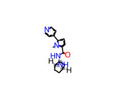 Cn1c(C(=O)N[C@@H]2C[C@H]3CC[C@@H]2N3)ccc1-c1ccncc1